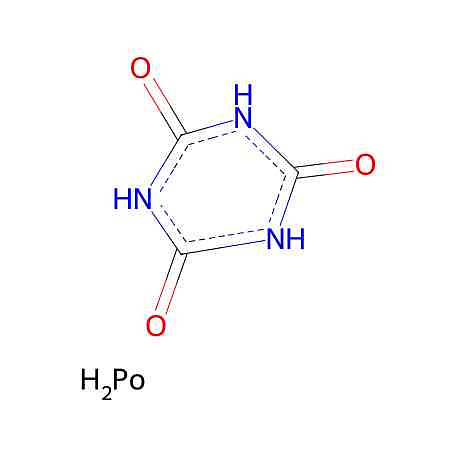 O=c1[nH]c(=O)[nH]c(=O)[nH]1.[PoH2]